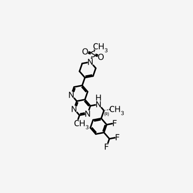 Cc1nc(N[C@H](C)c2cccc(C(F)F)c2F)c2cc(C3=CCN(S(C)(=O)=O)CC3)cnc2n1